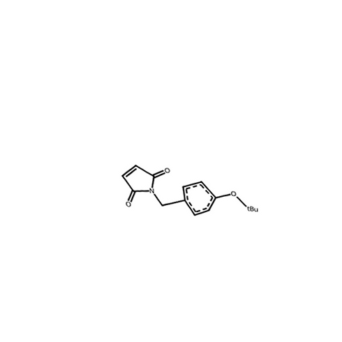 CC(C)(C)Oc1ccc(CN2C(=O)C=CC2=O)cc1